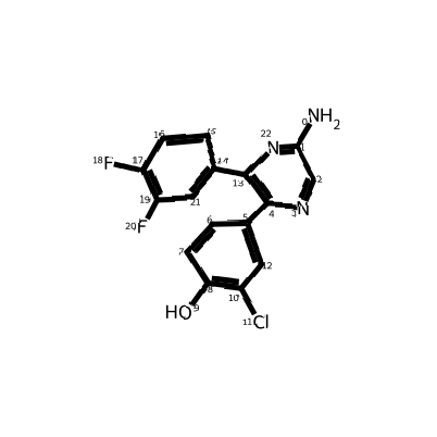 Nc1cnc(-c2ccc(O)c(Cl)c2)c(-c2ccc(F)c(F)c2)n1